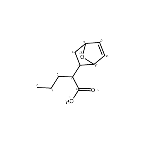 CCCC(C(=O)O)C1CC2C=CC1O2